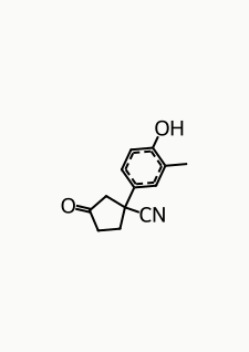 Cc1cc(C2(C#N)CCC(=O)C2)ccc1O